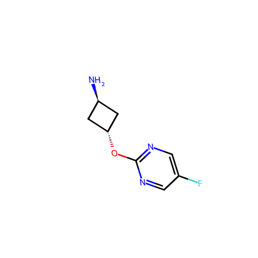 N[C@H]1C[C@H](Oc2ncc(F)cn2)C1